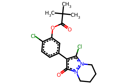 CC(C)(C)C(=O)Oc1cc(-c2c(Cl)n3n(c2=O)CCCC3)ccc1Cl